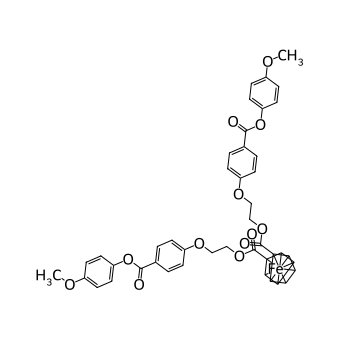 COc1ccc(OC(=O)c2ccc(OCCOC(=O)[C]34[CH]5[CH]6[CH]7[CH]3[Fe]6754389%10[CH]4[CH]3[CH]8[C]9(C(=O)OCCOc3ccc(C(=O)Oc5ccc(OC)cc5)cc3)[CH]4%10)cc2)cc1